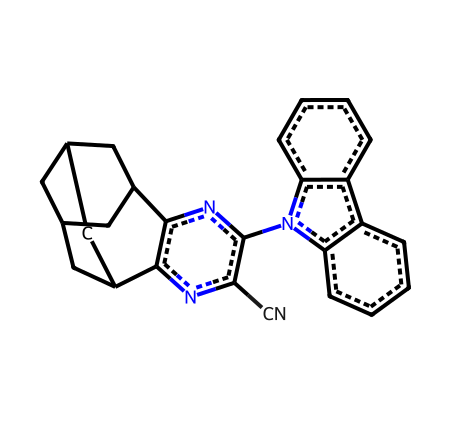 N#Cc1nc2c(nc1-n1c3ccccc3c3ccccc31)C1CC3CC(CC2C3)C1